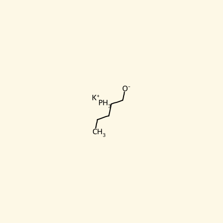 CCCCC[O-].P.[K+]